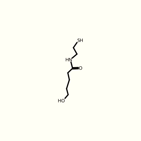 O=C(CCCCO)NCCS